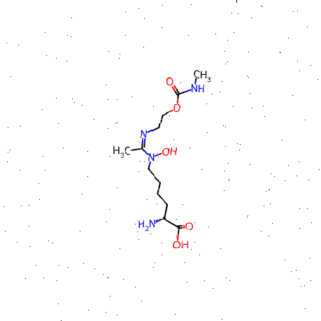 CNC(=O)OCCN=C(C)N(O)CCCC[C@H](N)C(=O)O